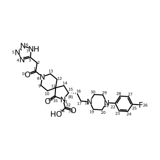 O=C(Cc1nnn[nH]1)N1CCC2(CC1)C[C@H](CCN1CCN(c3ccc(F)cc3)CC1)N(C(=O)O)C2=O